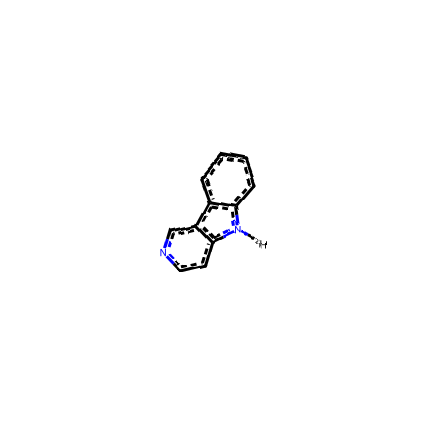 [2H]n1c2ccccc2c2cnccc21